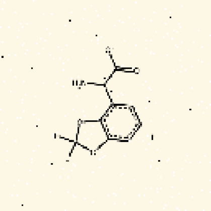 NC(C(=O)[O-])c1cccc2c1OC(F)(F)O2.[Li+]